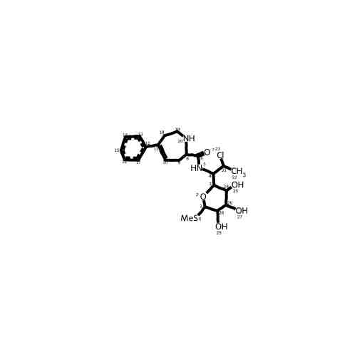 CSC1OC(C(NC(=O)C2CC=C(c3ccccc3)CCN2)C(C)Cl)C(O)C(O)C1O